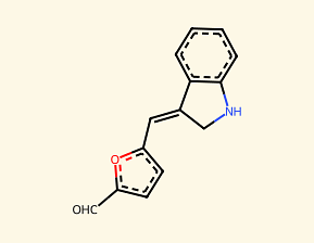 O=Cc1ccc(C=C2CNc3ccccc32)o1